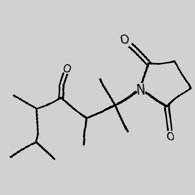 CC(C)C(C)C(=O)C(C)C(C)(C)N1C(=O)CCC1=O